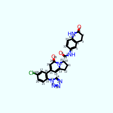 O=C1CCc2cc(NC(=O)[C@@H]3CCc4cc(-c5cc(Cl)ccc5-n5cnnn5)cc(=O)n43)ccc2N1